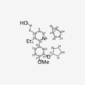 CCc1c(CCO)ccnc1-c1ccc(OC)c(OC2CCCC2)c1.c1cc2cc-2c1